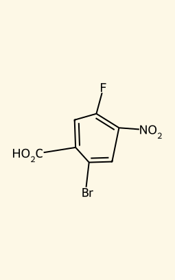 O=C(O)c1cc(F)c([N+](=O)[O-])cc1Br